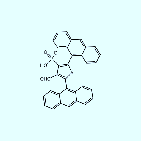 O=Cc1c(-c2c3ccccc3cc3ccccc23)sc(-c2c3ccccc3cc3ccccc23)c1P(=O)(O)O